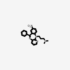 CN(C)CCCN1c2ccc([N+](=O)[O-])cc2C(c2ccccc2)=Nc2cccnc21